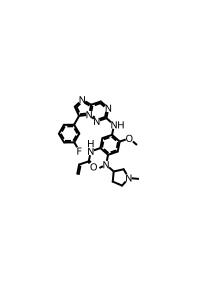 C=CC(=O)Nc1cc(Nc2ncc3ncc(-c4cccc(F)c4)n3n2)c(OC)cc1N(C)C1CCN(C)C1